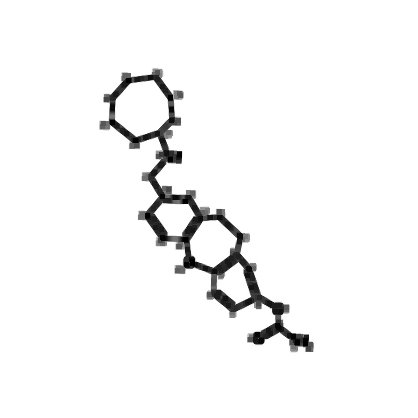 NC(=O)Oc1ccc2c(c1)CCc1cc(CNC3CCCCCCC3)ccc1O2